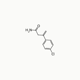 C=C(CC(N)=O)c1ccc(Cl)cc1